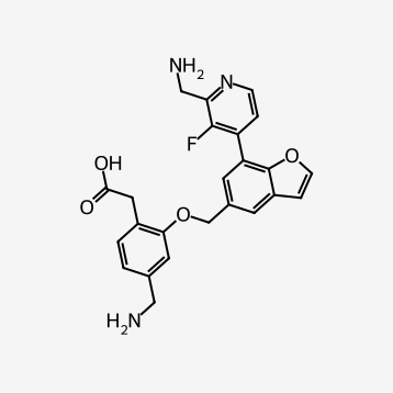 NCc1ccc(CC(=O)O)c(OCc2cc(-c3ccnc(CN)c3F)c3occc3c2)c1